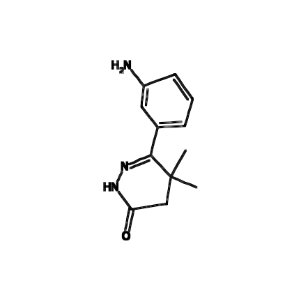 CC1(C)CC(=O)NN=C1c1cccc(N)c1